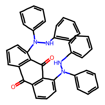 O=C1c2cccc(N(Nc3ccccc3)c3ccccc3)c2C(=O)c2c1cccc2N(Nc1ccccc1)c1ccccc1